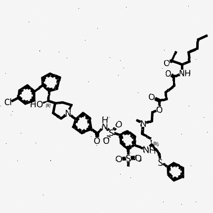 CCCCCC(NC(=O)CCCC(=O)OCCN(C)CC[C@H](CSc1ccccc1)Nc1ccc(S(=O)(=O)NC(=O)c2ccc(N3CCC([C@@H](O)c4ccccc4-c4ccc(Cl)cc4)CC3)cc2)cc1S(C)(=O)=O)C(C)=O